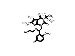 CCOC(=O)c1sc2c(c1C)c(=O)n(C(C)(C)C(=O)O)c(=O)n2C[C@H](OCCC#N)c1cc(F)ccc1OC